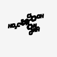 Cc1nc2cc(-n3c(-c4ccc(O)cc4Cl)cc4sc(C(=O)O)cc43)ccc2c(=O)[nH]1